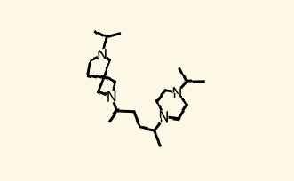 CC(C)N1CCN(C(C)CCC(C)N2CC3(CCN(C(C)C)C3)C2)CC1